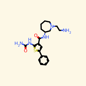 NCCN1CCCC[C@H](NC(=O)c2cc(-c3ccccc3)sc2NC(N)=O)C1